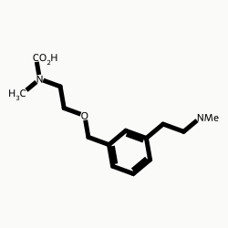 CNCCc1cccc(COCCN(C)C(=O)O)c1